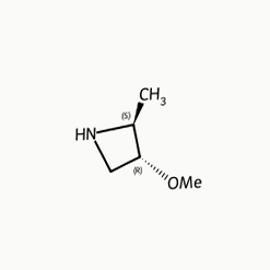 CO[C@@H]1CN[C@H]1C